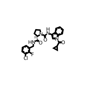 O=C(NCc1cccc(Cl)c1F)[C@@H]1CCCN1C(=O)Nc1cn(C(=O)C2CC2)c2ccccc12